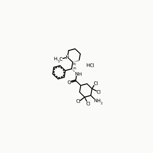 CN1CCCC[C@@H]1[C@H](NC(=O)C1CC(Cl)(Cl)C(N)C(Cl)(Cl)C1)c1ccccc1.Cl